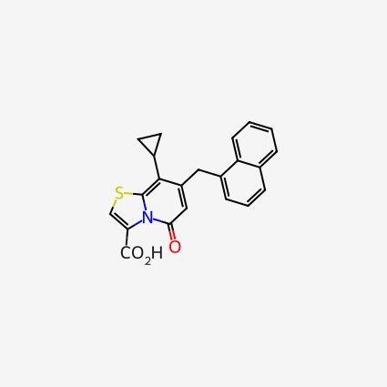 O=C(O)c1csc2c(C3CC3)c(Cc3cccc4ccccc34)cc(=O)n12